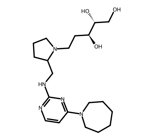 OC[C@@H](O)[C@@H](O)CCN1CCCC1CNc1nccc(N2CCCCCC2)n1